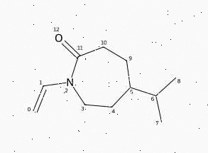 C=CN1CCC(C(C)C)CCC1=O